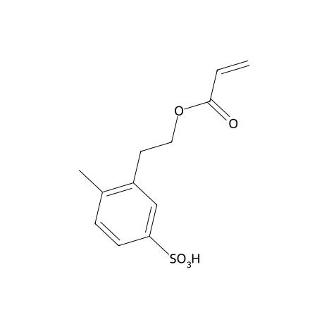 C=CC(=O)OCCc1cc(S(=O)(=O)O)ccc1C